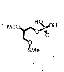 COC(COSC)COP(=O)(O)O